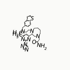 Cc1cc(C2CN(CC(N)=O)CCCCN2CCN(C)Cc2ccc3sccc3c2)nc(-n2cncn2)n1